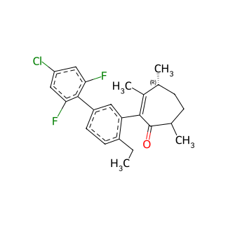 CCc1ccc(-c2c(F)cc(Cl)cc2F)cc1C1=C(C)[C@H](C)CCC(C)C1=O